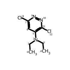 CCN(CC)c1cc(Cl)nnc1Cl